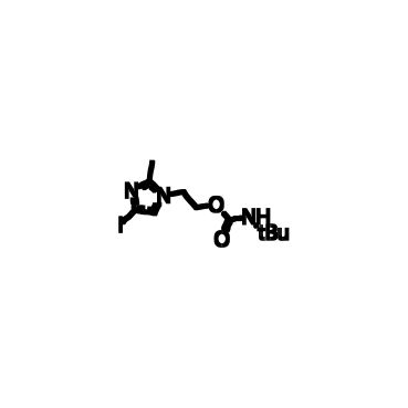 Cc1nc(I)cn1CCOC(=O)NC(C)(C)C